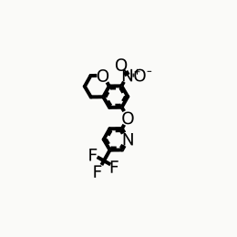 O=[N+]([O-])c1cc(Oc2ccc(C(F)(F)F)cn2)cc2c1OCCC2